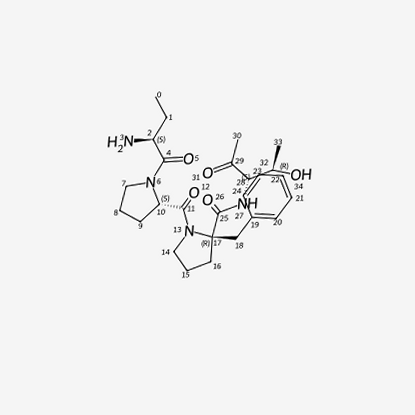 CC[C@H](N)C(=O)N1CCC[C@H]1C(=O)N1CCC[C@@]1(Cc1ccccc1)C(=O)N[C@H](C(C)=O)[C@@H](C)O